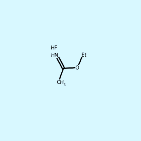 CCOC(C)=N.F